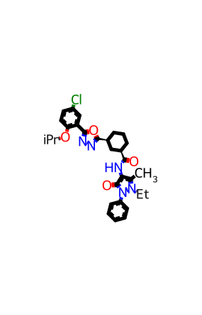 CCn1c(C)c(NC(=O)[C@@H]2CCC[C@H](c3nnc(-c4cc(Cl)ccc4OC(C)C)o3)C2)c(=O)n1-c1ccccc1